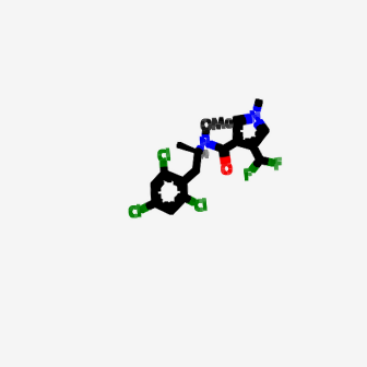 CON(C(=O)c1cn(C)cc1C(F)F)[C@H](C)Cc1c(Cl)cc(Cl)cc1Cl